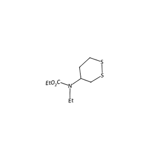 CCOC(=O)N(CC)C1CCSSC1